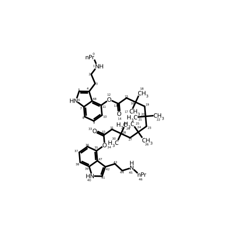 CCCNCCc1c[nH]c2cccc(OC(=O)CC(C)(C)CC(C)(C)CC(C)(C)CC(C)(C)CC(=O)Oc3cccc4[nH]cc(CCNCCC)c34)c12